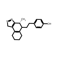 [CH]c1ccc(CCC2C3=C(CCCC3)C3=C(N=NC3)[C@@H]2C)cc1